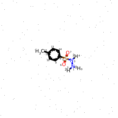 [2H]N([2H])N([2H])S(=O)(=O)c1ccc(C)cc1